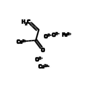 C=C[C](=O)[Ce+2].[Cu+2].[Fe+2].[O-2].[O-2].[O-2]